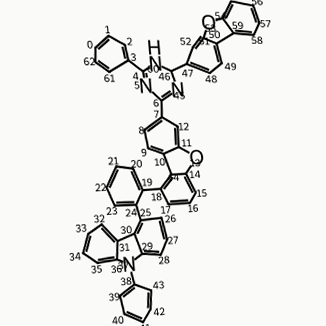 c1ccc(C2=NC(c3ccc4c(c3)oc3cccc(-c5ccccc5-c5cccc6c5c5ccccc5n6-c5ccccc5)c34)=NC(c3ccc4c(c3)oc3ccccc34)N2)cc1